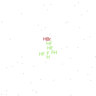 Br.F.F.F.F.F